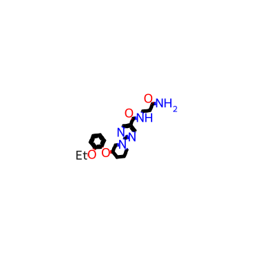 CCOc1ccccc1OC1CCCN(c2ncc(C(=O)NCCC(N)=O)cn2)C1